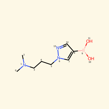 CN(C)CCCn1cc(B(O)O)cn1